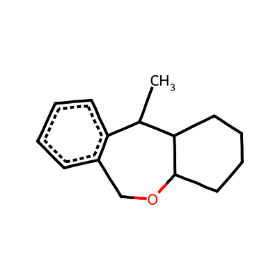 CC1c2ccccc2COC2CCCCC21